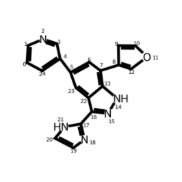 c1cncc(-c2cc(-c3ccoc3)c3[nH]nc(-c4ncc[nH]4)c3c2)c1